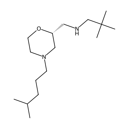 CC(C)CCCN1CCO[C@H](CNCC(C)(C)C)C1